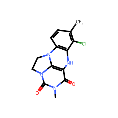 Cn1c(=O)c2c3n(c1=O)CCN3c1ccc(C(F)(F)F)c(Cl)c1N2